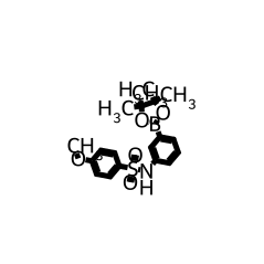 COc1ccc(S(=O)(=O)Nc2cccc(B3OC(C)(C)C(C)(C)O3)c2)cc1